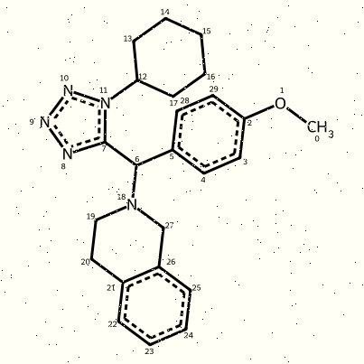 COc1ccc(C(c2nnnn2C2CCCCC2)N2CCc3ccccc3C2)cc1